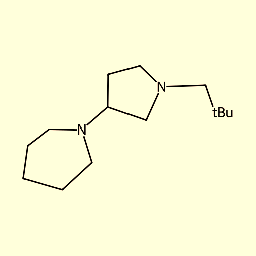 CC(C)(C)CN1CCC(N2CCCCC2)C1